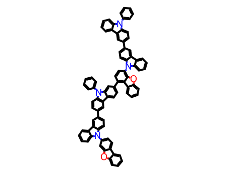 c1ccc(-n2c3ccccc3c3cc(-c4ccc5c(c4)c4ccccc4n5-c4ccc(-c5ccc6c7cc(-c8ccc9c(c8)c8ccccc8n9-c8ccc9c(c8)oc8ccccc89)ccc7n(-c7ccccc7)c6c5)c5c4oc4ccccc45)ccc32)cc1